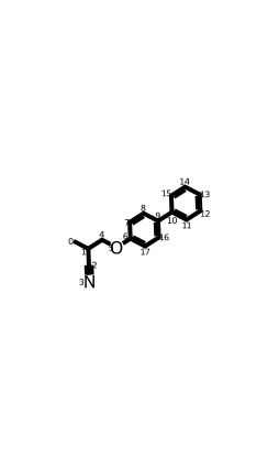 CC(C#N)COc1ccc(-c2ccccc2)cc1